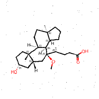 CO[C@@]1([C@H](C)CCC(=O)O)C[C@@H]2C[C@H](O)CC[C@]2(C)[C@H]2CC[C@@]3(C)CCC[C@H]3[C@H]21